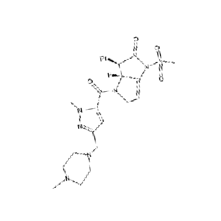 CC(C)[C@H]1C(=O)N(S(C)(=O)=O)C2=CCN(C(=O)c3cc(CN4CCN(C)CC4)nn3C)[C@@H]21